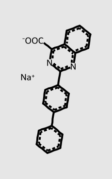 O=C([O-])c1nc(-c2ccc(-c3ccccc3)cc2)nc2ccccc12.[Na+]